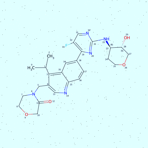 CC(C)c1c(CN2CCOCC2=O)cnc2ccc(-c3nc(N[C@@H]4CCOC[C@H]4O)ncc3F)cc12